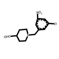 CCc1cc(CN2CCC([C]=O)CC2)cc([N+](=O)[O-])c1